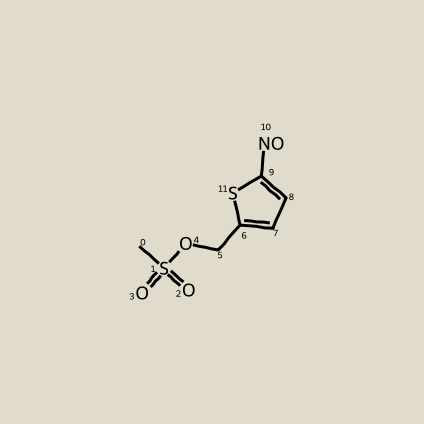 CS(=O)(=O)OCc1ccc(N=O)s1